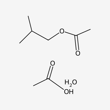 CC(=O)O.CC(=O)OCC(C)C.O